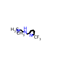 CN(C)CCNCc1cccc(C(F)(F)F)n1